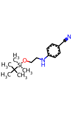 CC(C)(C)[Si](C)(C)OCCNc1ccc(C#N)cc1